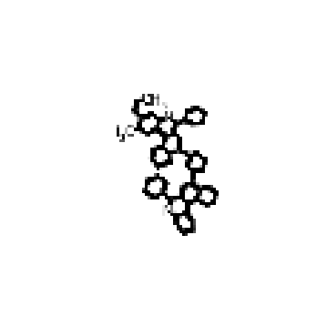 C/C=C\C1=Cc2nc(C3=CCCC=C3)c3c(c2CC1C)C1C=CC=CC1C(C1=CC(c2cc4c(-c5ccccc5)nc5ccccc5c4c4c2C=CCC4)=CCC1)=C3